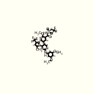 COc1cc(Nc2ncc(-c3cnc(OC)c(C(=O)NS(=O)(=O)CC(F)(F)F)c3)c(-n3nc(C(F)(F)F)cc3C)n2)cc(OC)c1